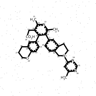 Cc1cc(N2CCc3cc(-c4c(C)nc(C)c(CC(=O)O)c4-c4ccc5c(c4)CCCO5)ccc3C2)ncn1